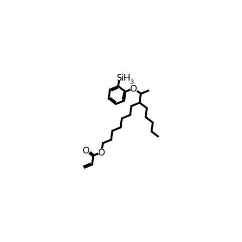 C=CC(=O)OCCCCCCCC(CCCCC)C(C)Oc1ccccc1[SiH3]